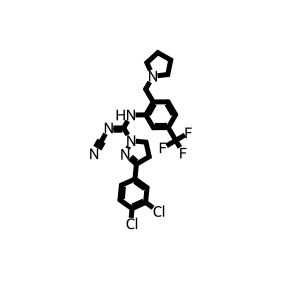 N#C/N=C(/Nc1cc(C(F)(F)F)ccc1CN1CCCC1)N1CCC(c2ccc(Cl)c(Cl)c2)=N1